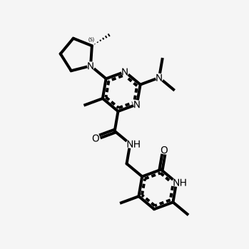 Cc1cc(C)c(CNC(=O)c2nc(N(C)C)nc(N3CCC[C@@H]3C)c2C)c(=O)[nH]1